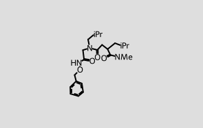 CNC(=O)C(CC(=O)N(CC(=O)NOCc1ccccc1)CC(C)C)CC(C)C